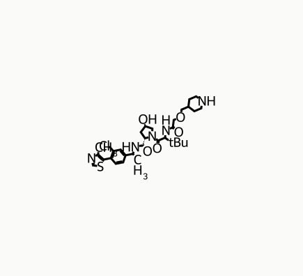 Cc1ncsc1-c1ccc(C(C)NC(=O)[C@@H]2C[C@@H](O)CN2C(=O)C(NC(=O)COCC2CCNCC2)C(C)(C)C)cc1Cl